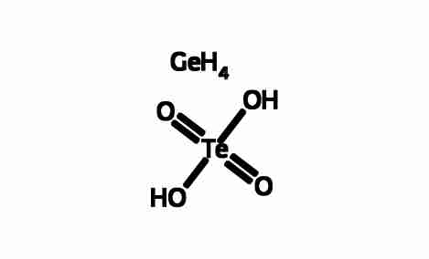 O=[Te](=O)(O)O.[GeH4]